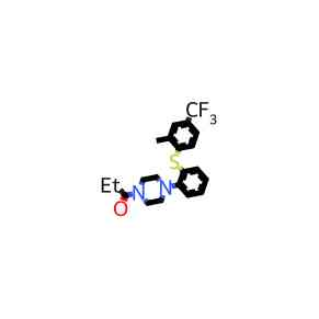 CCC(=O)N1CCN(c2ccccc2Sc2ccc(C(F)(F)F)cc2C)CC1